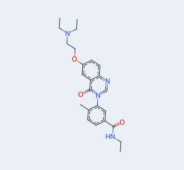 CCNC(=O)c1ccc(C)c(-n2cnc3ccc(OCCN(CC)CC)cc3c2=O)c1